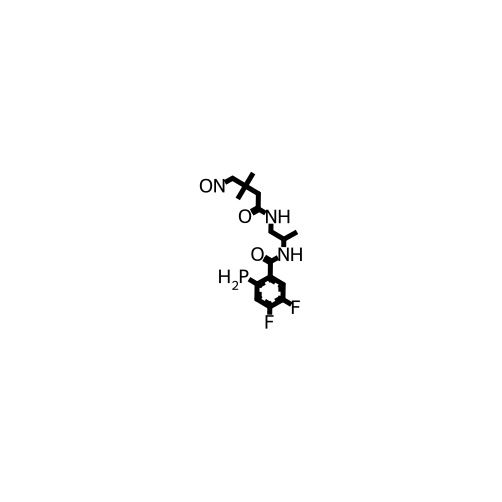 CC(CNC(=O)CC(C)(C)CN=O)NC(=O)c1cc(F)c(F)cc1P